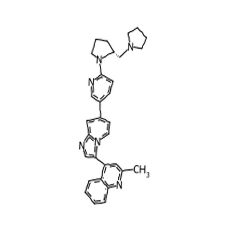 Cc1cc(-c2cnc3cc(-c4ccc(N5CCC[C@@H]5CN5CCCC5)nc4)ccn23)c2ccccc2n1